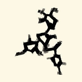 COc1cc(F)c([C@@H]2CN(c3ccc(C)n(C)c3=O)C(=O)[C@H]2NC(=O)c2ccc(Cl)cc2)c(P)c1